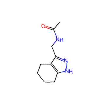 CC(=O)NCc1n[nH]c2c1CCCC2